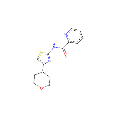 O=C(Nc1nc(C2CCOCC2)cs1)c1ccccn1